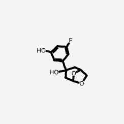 Oc1cc(F)cc(C2(O)CC3COC(C2)O3)c1